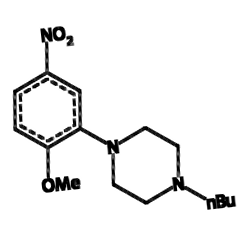 CCCCN1CCN(c2cc([N+](=O)[O-])ccc2OC)CC1